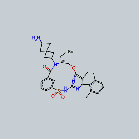 Cc1cccc(C)c1-c1nc2nc(c1C)OC[C@@H](CC(C)(C)C)N(C1CC3(CC(N)C3)C1)C(=O)c1cccc(c1)S(=O)(=O)N2